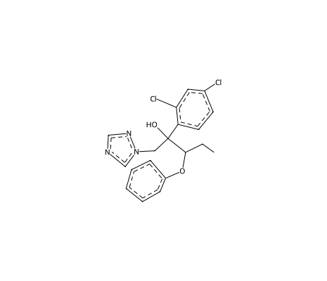 CCC(Oc1ccccc1)C(O)(Cn1cncn1)c1ccc(Cl)cc1Cl